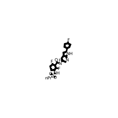 CCCS(=O)(=O)Nc1ccc(F)c(C(=O)Nc2cnc3[nH]c(-c4ccc(F)cc4)cc3c2)c1F